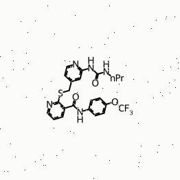 CCCNC(=O)Nc1cc(CSc2ncccc2C(=O)Nc2ccc(OC(F)(F)F)cc2)ccn1